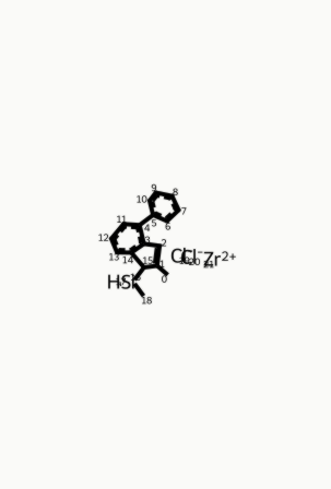 CC1=Cc2c(-c3ccccc3)cccc2C1[SiH](C)C.[Cl-].[Cl-].[Zr+2]